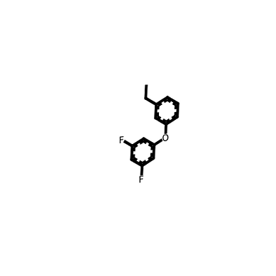 CCc1cccc(Oc2cc(F)cc(F)c2)c1